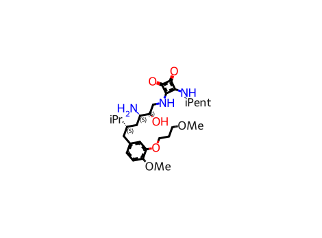 CCCC(C)Nc1c(NC[C@H](O)[C@@H](N)C[C@H](Cc2ccc(OC)c(OCCCOC)c2)C(C)C)c(=O)c1=O